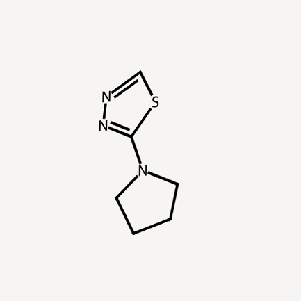 c1nnc(N2CCCC2)s1